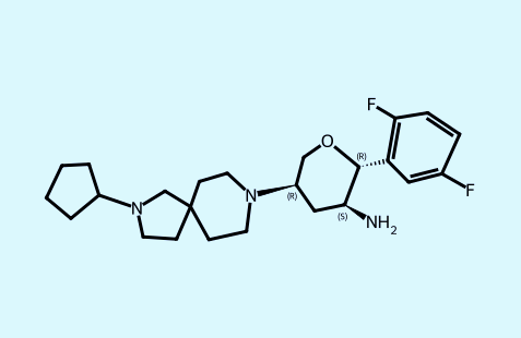 N[C@H]1C[C@@H](N2CCC3(CCN(C4CCCC4)C3)CC2)CO[C@@H]1c1cc(F)ccc1F